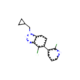 Clc1ncccc1-c1ccc2c(nnn2CC2CC2)c1Cl